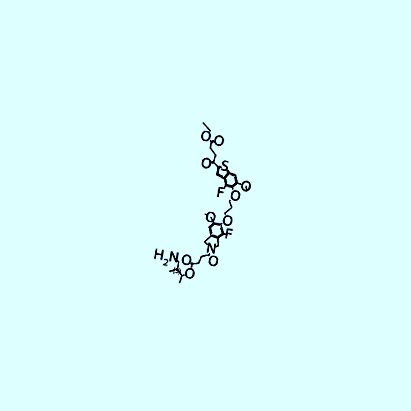 CCOC(=O)CCC(=O)c1cc2c(F)c(OCCCOc3c(OC)cc4c(c3F)CN(C(=O)CCC(=O)OC(C)[C@@H](C)CN)C4)c(OC)cc2s1